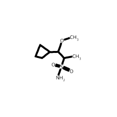 COC(C1CCC1)C(C)S(N)(=O)=O